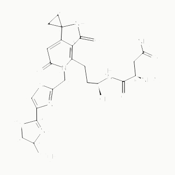 CC(=O)N[C@H](CC(N)=O)C(=O)N[C@@H](C)CCc1c2c(cc(=O)n1Cc1nc(C3=NC(C(=O)O)CS3)cs1)C1(CC1)NC2=O